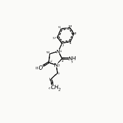 C=CCN1C(=N)N(c2ccccc2)CC1=O